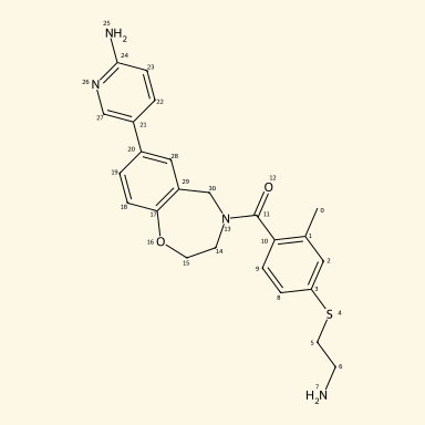 Cc1cc(SCCN)ccc1C(=O)N1CCOc2ccc(-c3ccc(N)nc3)cc2C1